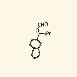 CCCC(O[C]=O)c1ccc2ccccc2c1